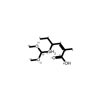 CCC(C=C(C)C(=O)O)[SiH2]C(OC)OC